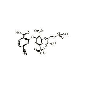 CS(=O)(=O)CCC(Oc1nc(S(C)(=O)=O)nc(Oc2cc(C#N)ccc2C(=O)O)c1[N+](=O)[O-])C(=O)O